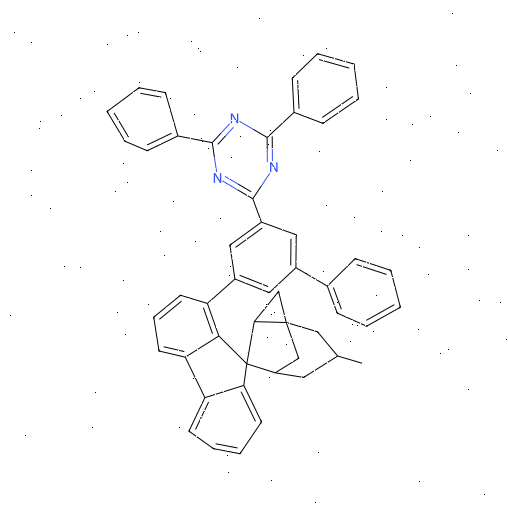 CC1CC2CC3(C1)CC3C21c2ccccc2-c2cccc(-c3cc(-c4ccccc4)cc(-c4nc(-c5ccccc5)nc(-c5ccccc5)n4)c3)c21